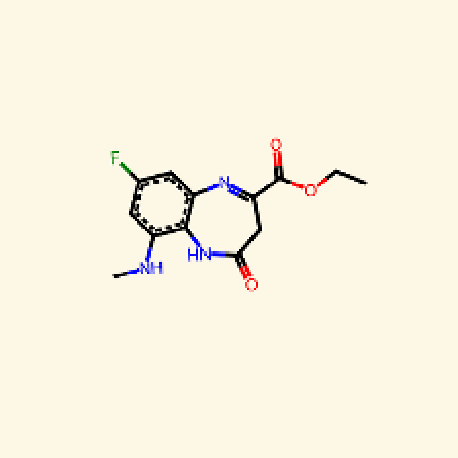 CCOC(=O)C1=Nc2cc(F)cc(NC)c2NC(=O)C1